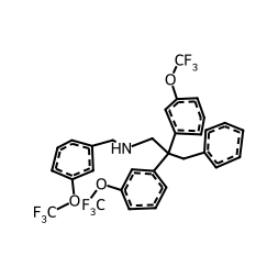 FC(F)(F)Oc1cccc(CNCC(Cc2ccccc2)(c2cccc(OC(F)(F)F)c2)c2cccc(OC(F)(F)F)c2)c1